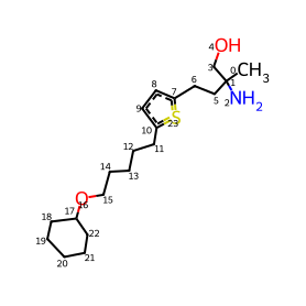 CC(N)(CO)CCc1ccc(CCCCCOC2CCCCC2)s1